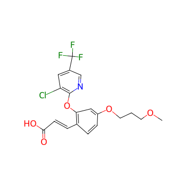 COCCCOc1ccc(C=CC(=O)O)c(Oc2ncc(C(F)(F)F)cc2Cl)c1